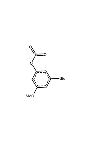 COc1cc([O][Ti](=[O])=[O])cc(C(C)(C)C)c1